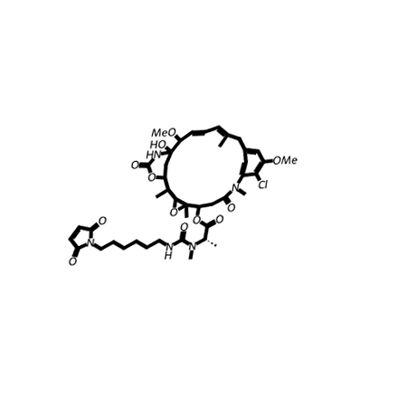 COc1cc2cc(c1Cl)N(C)C(=O)CC(OC(=O)[C@H](C)N(C)C(=O)NCCCCCCN1C(=O)C=CC1=O)C1(C)OC1C(C)C1CC(O)(NC(=O)O1)C(OC)/C=C/C=C(\C)C2